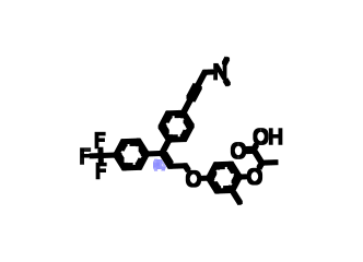 Cc1cc(OC/C=C(\c2ccc(C#CCN(C)C)cc2)c2ccc(C(F)(F)F)cc2)ccc1OC(C)C(=O)O